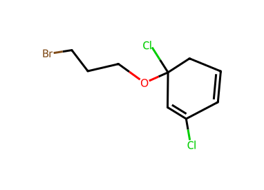 ClC1=CC(Cl)(OCCCBr)CC=C1